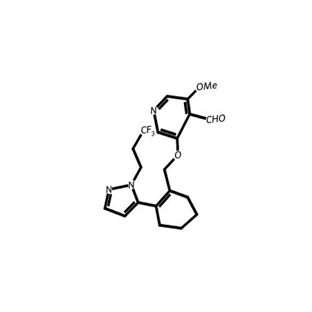 COc1cncc(OCC2=C(c3ccnn3CCC(F)(F)F)CCCC2)c1C=O